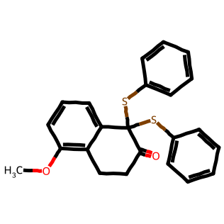 COc1cccc2c1CCC(=O)C2(Sc1ccccc1)Sc1ccccc1